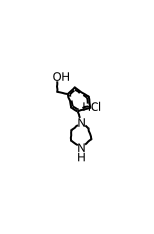 Cl.OCc1cccc(N2CCNCC2)c1